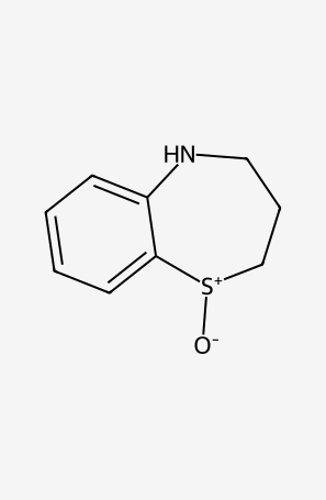 [O-][S+]1CCCNc2ccccc21